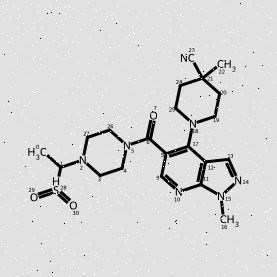 CC(N1CCN(C(=O)c2cnc3c(cnn3C)c2N2CCC(C)(C#N)CC2)CC1)[SH](=O)=O